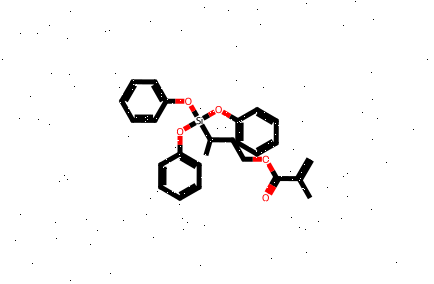 C=C(C)C(=O)OCCC(C)[Si](Oc1ccccc1)(Oc1ccccc1)Oc1ccccc1